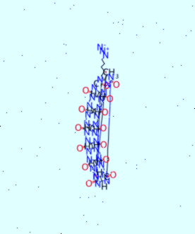 C[C@]12N3CN4C(=O)N5CN6C(=O)N7CN8C(=O)N9CN%10C(=O)N%11CN%12C(=O)N%13CN%14C(=O)N%15CN(C3=O)[C@@]1(CCCCCN=[N+]=[N-])N1CN3C(=O)N(CN%16C(=O)N(CN%17C(=O)N(CN%18C(=O)N(CN%19C(=O)N(CN%20C(=O)N(CN2C1=O)[C@H]4[C@@H]%205)[C@H]6[C@@H]%197)[C@H]8[C@@H]%189)[C@H]%10[C@@H]%17%11)[C@H]%12[C@@H]%16%13)[C@H]%14[C@@H]3%15